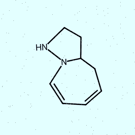 C1=CCC2CCNN2C=C1